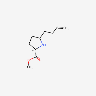 C=CCCC1CC[C@@H](C(=O)OC)N1